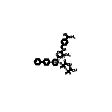 CC(NC(=O)[C@H]1C[C@@H](c2ccc(-c3ccccc3)cc2)CCN1)C(=O)NCc1ccc(C(=N)N)cc1.O=C(O)C(F)(F)F.O=C(O)C(F)(F)F